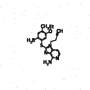 Bc1cc(C)c(OCC)cc1Sc1nc2c(N)nccc2n1CCC#C